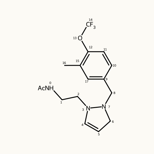 CC(=O)NCCN1C=CCN1Cc1ccc(OC(F)(F)F)c(C)c1